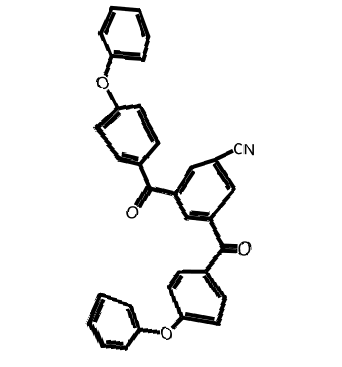 N#Cc1cc(C(=O)c2ccc(Oc3ccccc3)cc2)cc(C(=O)c2ccc(Oc3ccccc3)cc2)c1